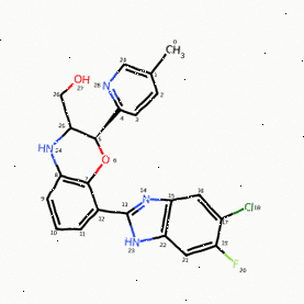 Cc1ccc([C@H]2Oc3c(cccc3-c3nc4cc(Cl)c(F)cc4[nH]3)NC2CO)nc1